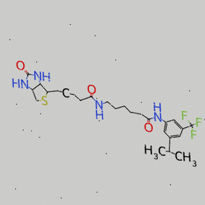 CC(C)c1cc(NC(=O)CCCCCNC(=O)CCCCC2SCC3NC(=O)NC32)cc(C(F)(F)F)c1